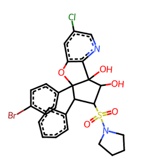 O=S(=O)(C1C(O)C2(O)c3ncc(Cl)cc3OC2(c2ccc(Br)cc2)C1c1ccccc1)N1CCCC1